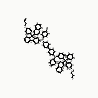 C=CCOc1ccc(C2(c3ccc4ccccc4c3)c3ccccc3-c3ccc(N(c4ccc(F)cc4)c4ccc(-c5ccc(N(c6ccc(F)cc6)c6ccc7c(c6)C(c6ccc(OCC=C)cc6)(c6ccc8ccccc8c6)c6ccccc6-7)cc5)cc4)cc32)cc1